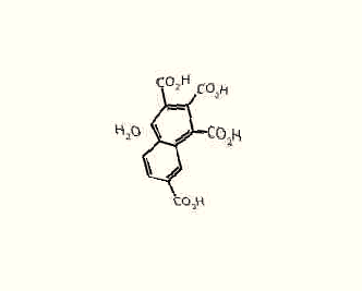 O.O=C(O)c1ccc2cc(C(=O)O)c(C(=O)O)c(C(=O)O)c2c1